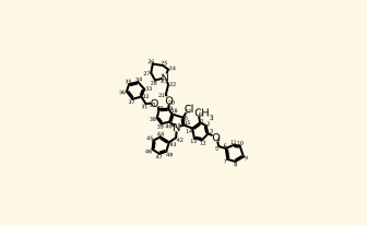 Cc1cc(OCc2ccccc2)ccc1-c1c(Cl)c2c(OCCN3CCCCC3)c(OCc3ccccc3)ccc2n1Cc1ccccc1